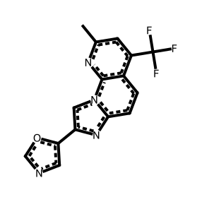 Cc1cc(C(F)(F)F)c2ccc3nc(-c4cnco4)cn3c2n1